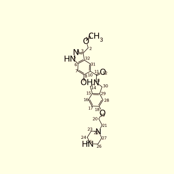 COCc1n[nH]c2cc(O)c(C(=O)N3Cc4ccc(OCCN5CCNCC5)cc4C3)cc12